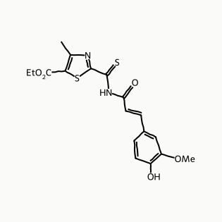 CCOC(=O)c1sc(C(=S)NC(=O)/C=C/c2ccc(O)c(OC)c2)nc1C